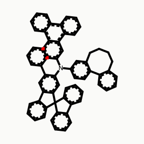 c1ccc(-c2cc3c(cc2N(c2ccc4c(c2)CCCCc2ccccc2-4)c2ccc4c5ccccc5c5ccccc5c4c2)C2(c4ccccc4-c4ccccc42)c2ccccc2-3)cc1